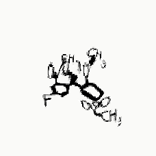 CCOc1ccc(S(=O)(=O)CC)cc1-c1cn(C)c(=O)c2cc(F)ccc12